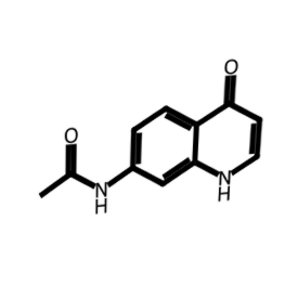 CC(=O)Nc1ccc2c(=O)cc[nH]c2c1